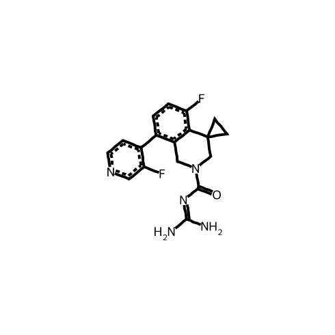 NC(N)=NC(=O)N1Cc2c(-c3ccncc3F)ccc(F)c2C2(CC2)C1